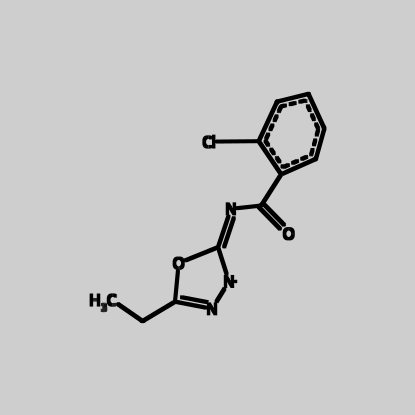 CCC1=N[N]C(=NC(=O)c2ccccc2Cl)O1